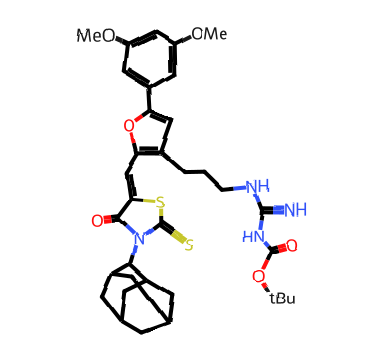 COc1cc(OC)cc(-c2cc(CCCNC(=N)NC(=O)OC(C)(C)C)c(/C=C3\SC(=S)N(C4C5CC6CC(C5)CC4C6)C3=O)o2)c1